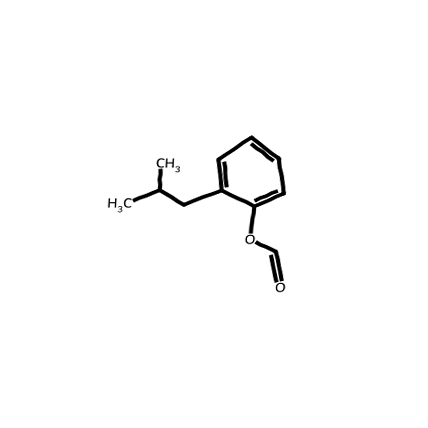 CC(C)Cc1ccccc1OC=O